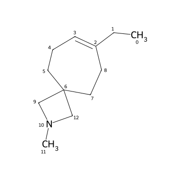 CCC1=CCCC2(CC1)CN(C)C2